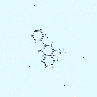 Nc1nc(-c2ccccc2)nc2ccccc12